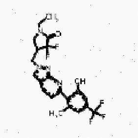 CCN1CC(Cn2cc3ccc(-c4c(C)cc(C(F)(F)F)cc4O)nc3n2)C(F)(F)C1=O